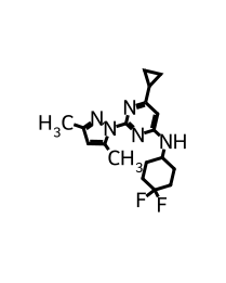 Cc1cc(C)n(-c2nc(NC3CCC(F)(F)CC3)cc(C3CC3)n2)n1